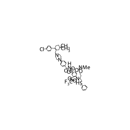 CNC(=O)OCCC(CSc1ccccc1)Nc1ccc(S(=O)(=O)NC(=O)c2ccc(N3CCN(CC4=C(c5ccc(Cl)cc5)CCC(C)(C)C4)CC3)cc2)cc1S(=O)(=O)C(F)(F)F